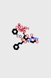 O=C(O)c1cccc(OP(=O)(O)OP(=O)(O)OC[C@H]2O[C@@H](n3ccc(=O)[nH]c3=O)[C@H]3OC(CCc4ccccc4)OC23)c1